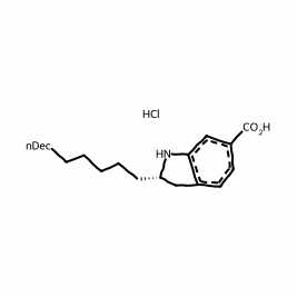 CCCCCCCCCCCCCCC[C@H]1Cc2ccc(C(=O)O)cc2N1.Cl